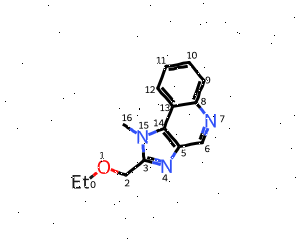 CCOCc1nc2cnc3ccccc3c2n1C